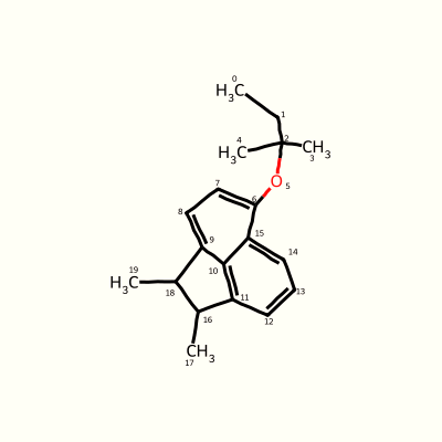 CCC(C)(C)Oc1ccc2c3c(cccc13)C(C)C2C